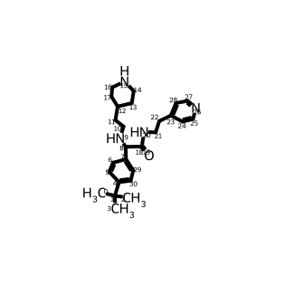 CC(C)(C)c1ccc(C(NCCC2CCNCC2)C(=O)NCCc2ccncc2)cc1